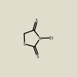 CCN1C(=S)CSC1=S